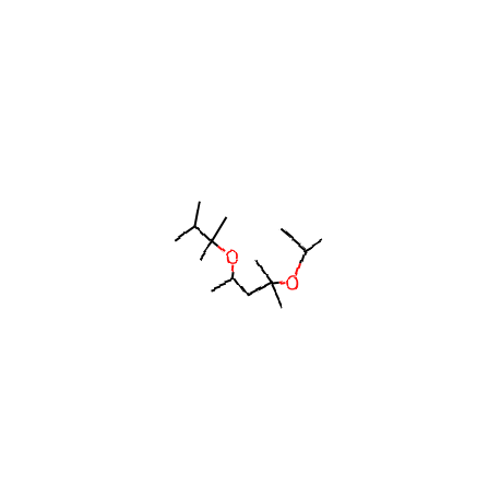 CC(C)OC(C)(C)CC(C)OC(C)(C)C(C)C